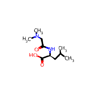 CC(C)C[C@H](NC(=O)CN(C)C)C(=O)O